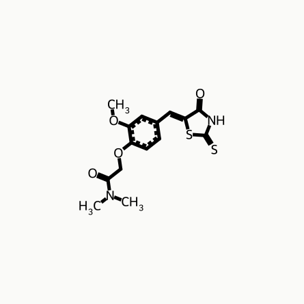 COc1cc(/C=C2\SC(=S)NC2=O)ccc1OCC(=O)N(C)C